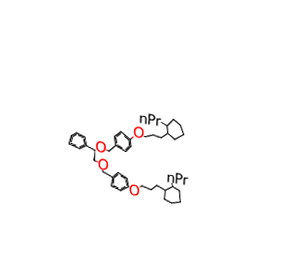 CCCC1CCCCC1CCCOc1ccc(COC[C@H](OCc2ccc(OCCCC3CCCCC3CCC)cc2)c2ccccc2)cc1